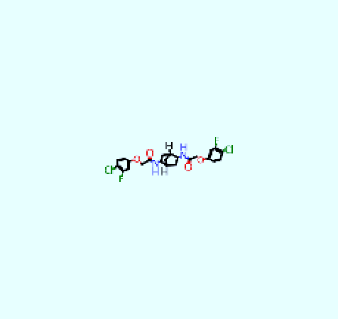 O=C(COc1ccc(Cl)c(F)c1)N[C@H]1C[C@H]2C[C@@H]1C[C@@H]2NC(=O)COc1ccc(Cl)c(F)c1